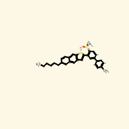 CCCCCCc1ccc2cc3sc(-c4cc(-c5ccc(C)cc5)ccc4[S+](C)[O-])cc3cc2c1